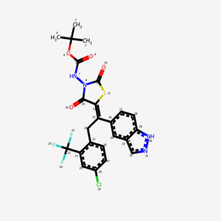 CC(C)(C)OC(=O)NN1C(=O)S/C(=C(/Cc2ccc(Cl)cc2C(F)(F)F)c2ccc3[nH]ncc3c2)C1=O